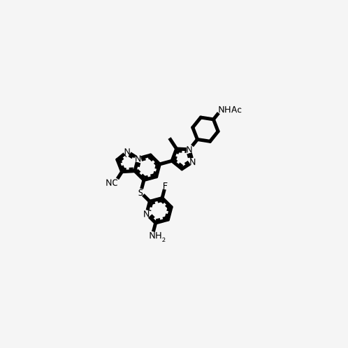 CC(=O)NC1CCC(n2ncc(-c3cc(Sc4nc(N)ccc4F)c4c(C#N)cnn4c3)c2C)CC1